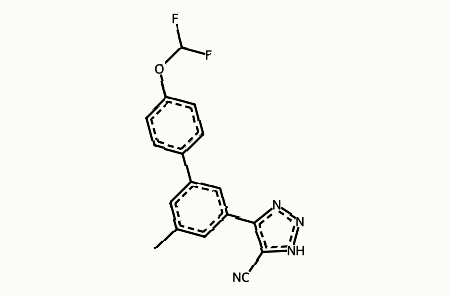 Cc1cc(-c2ccc(OC(F)F)cc2)cc(-c2nn[nH]c2C#N)c1